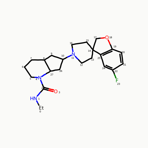 CCNC(=O)N1CCCC2CC(N3CCC4(CC3)COc3ccc(F)cc34)CC21